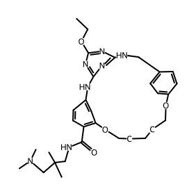 CCOc1nc2nc(n1)Nc1ccc(C(=O)NCC(C)(C)CN(C)C)c(c1)OCCCCCOc1ccc(cc1)CN2